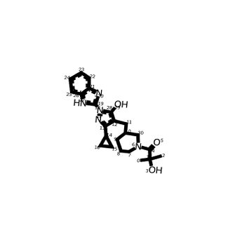 CC(C)(O)C(=O)N1CCCC(Cc2c(C3CC3)nn(-c3nc4ccccc4[nH]3)c2O)C1